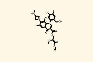 CNC1CN(c2c(F)cc3c(=O)c(C(=O)OC/C(OC)=C(\C)OC=O)cn(-c4cc(N)c(F)cc4CO)c3c2Cl)C1